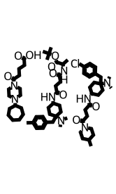 CC1CCN(C(=O)CCC(=O)NC2CCC(Cc3ccc(Cl)cc3)(N(C)C)CC2)CC1.Cc1ccc(CC2(N(C)C)CCC(NC(=O)CCC(=O)NC(C)C(=O)OC(C)(C)C)CC2)cc1.O=C(O)CCCC(=O)N1CCN(C2CCCCCC2)CC1